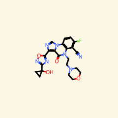 N#Cc1c(F)ccc2c1n(CCN1CCOCC1)c(=O)c1c(-c3nc(C4(O)CC4)no3)ncn12